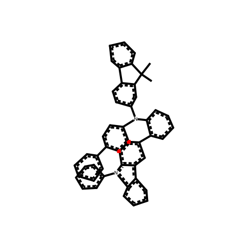 CC1(C)c2ccccc2-c2ccc(N(c3ccc(-c4ccccc4)cc3)c3ccccc3-c3ccc4c(c3)c3ccccc3n4-c3ccccc3)cc21